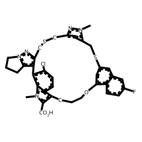 Cn1nc2cc1CSc1cc(c3ccc(F)cc3c1)OCCCc1c(C(=O)O)n(C)c3c(c(Cl)ccc13)-c1c(nn3c1CCC3)CSC2